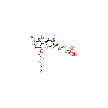 CCCCCCOc1ccc(C)c(F)c1-c1ccc(SCCCC(=O)O)c(F)c1